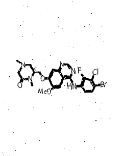 COc1cc2c(Nc3ccc(Br)c(Cl)c3F)ncnc2cc1OC[C@@H]1CN(C)CC(=O)N1C